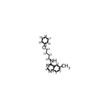 Cc1ccc2ncnc(NCCCCOc3ccccc3)c2c1